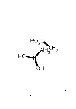 CC(=O)O.O[N](O)[AlH2]